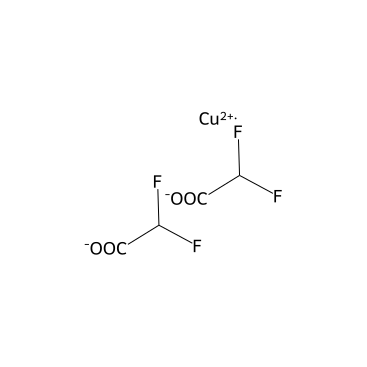 O=C([O-])C(F)F.O=C([O-])C(F)F.[Cu+2]